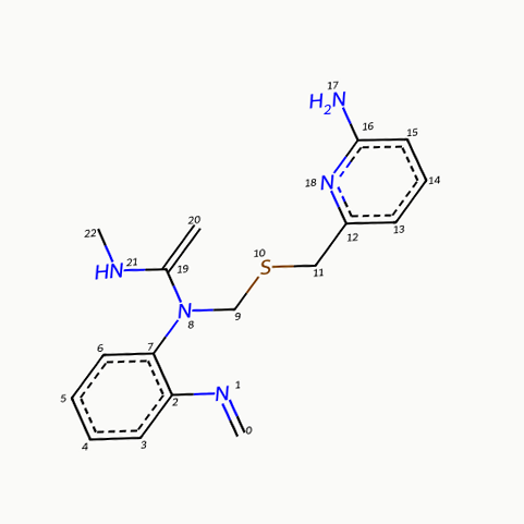 C=Nc1ccccc1N(CSCc1cccc(N)n1)C(=C)NC